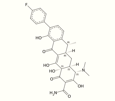 C[C@H]1c2ccc(-c3ccc(F)cc3)c(O)c2C(=O)C2=C(O)[C@]3(O)C(=O)C(C(N)=O)=C(O)[C@@H](N(C)C)[C@@H]3C[C@@H]21